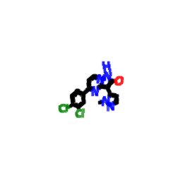 Cn1nccc1-c1c(=O)[nH]n2ccc(-c3ccc(Cl)c(Cl)c3)nc12